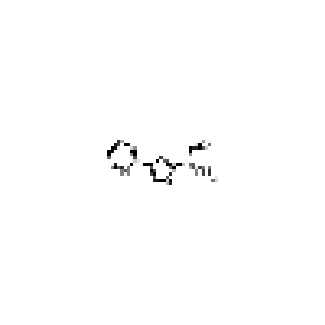 C=C(C=O)c1cc(-c2ccccn2)cs1